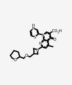 Cc1cc(N2CC(COCC3CCCCO3)C2)nc2c1c(=O)c(C(=O)O)cn2C1=CNC=CS1